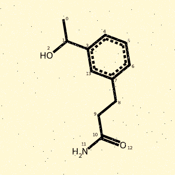 CC(O)c1cccc(CCC(N)=O)c1